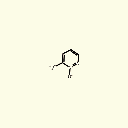 Cc1cccn[n+]1[O-]